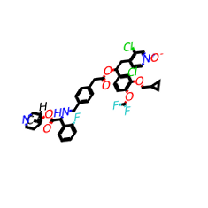 O=C(Cc1ccc(CNC(C(=O)O[C@H]2CN3CCC2CC3)c2ccccc2F)cc1)OC(Cc1c(Cl)c[n+]([O-])cc1Cl)c1ccc(OC(F)F)c(OCC2CC2)c1